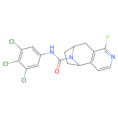 O=C(Nc1cc(Cl)c(Cl)c(Cl)c1)N1C2CCC1c1ccnc(F)c1C2